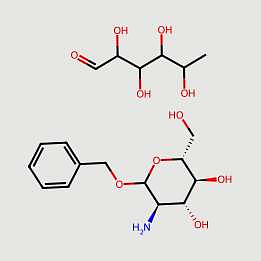 CC(O)C(O)C(O)C(O)C=O.N[C@H]1C(OCc2ccccc2)O[C@H](CO)[C@@H](O)[C@@H]1O